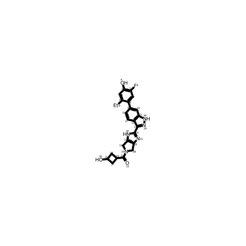 CCc1cc(O)c(F)cc1-c1ccc2c(-c3nc4c([nH]3)CN(C(=O)C3CC(O)C3)C4)n[nH]c2c1